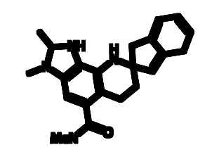 CNC(=O)c1cc2c(c3c1CCC1(C=C4CC=CC=C4C1)N3)NC(C)N2C